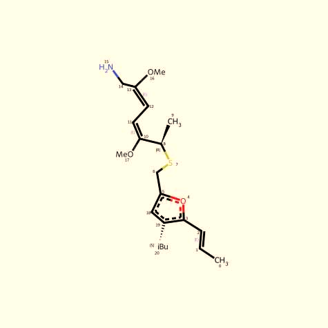 C/C=C/c1oc(CS[C@H](C)/C(=C\C=C(/CN)OC)OC)cc1[C@@H](C)CC